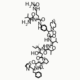 CC[C@H](C)[C@@H]([C@H](O)CC(=O)N1CCC[C@H]1[C@H](OC)[C@@H](C)C(=O)N[C@@H](Cc1ccccc1)c1nccs1)N(C)C(=O)[C@@H](NC(=O)[C@@H](NC(=O)OC(C(=O)N1CCN(C)CC1)c1ccc(NC(=O)[C@H](CCCNC(N)=O)NC(=O)[C@@H](N)C(C)C)cc1)C(C)C)C(C)C